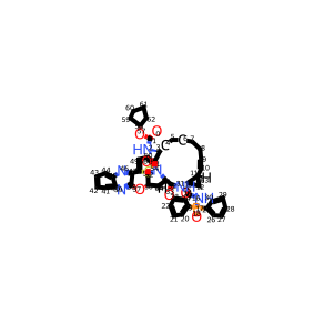 O=C(N[C@H]1CCCCC/C=C\[C@@H]2C[C@@]2(C(=O)NP(=O)(c2ccccc2)c2ccccc2)NC(=O)[C@@H]2C[C@@H](Oc3nc4ccccc4nc3-c3cccs3)CN2C1=O)OC1CCCC1